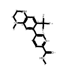 CNC(=O)c1ccc(-c2cc3c(cc2C(F)(F)F)NCCN3C)cn1